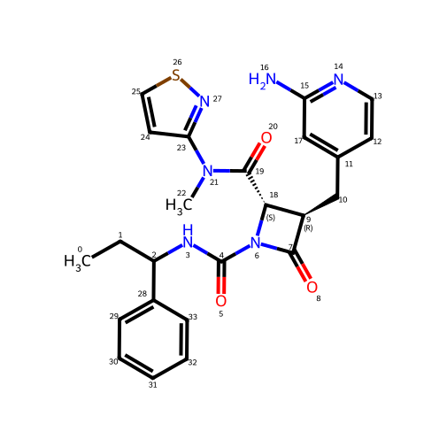 CCC(NC(=O)N1C(=O)[C@H](Cc2ccnc(N)c2)[C@H]1C(=O)N(C)c1ccsn1)c1ccccc1